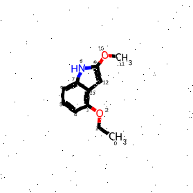 CCOc1c[c]cc2[nH]c(OC)cc12